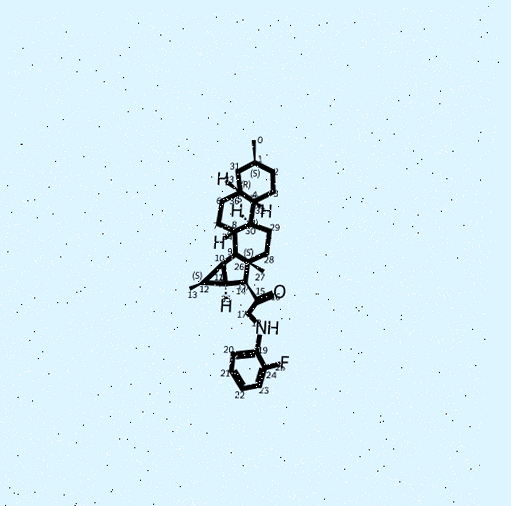 C[C@H]1CC[C@H]2[C@H](CC[C@H]3C4C5[C@H]([C@H]5C)[C@H](C(=O)CNc5ccccc5F)[C@@]4(C)CC[C@H]23)C1